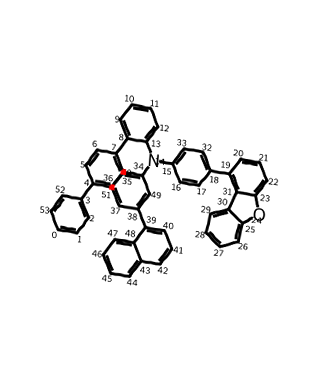 c1ccc(-c2ccc(-c3ccccc3N(c3ccc(-c4cccc5oc6ccccc6c45)cc3)c3cccc(-c4cccc5ccccc45)c3)cc2)cc1